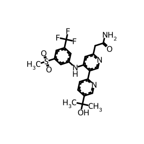 CC(C)(O)c1ccc(-c2cnc(CC(N)=O)cc2Nc2cc(C(F)(F)F)cc(S(C)(=O)=O)c2)nc1